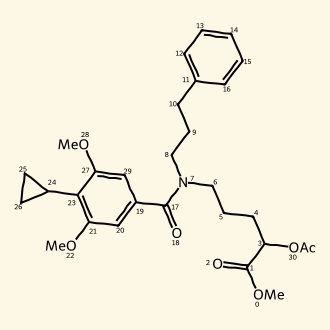 COC(=O)C(CCCN(CCCc1ccccc1)C(=O)c1cc(OC)c(C2CC2)c(OC)c1)OC(C)=O